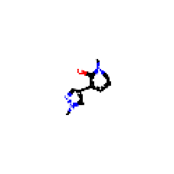 Cn1cc(-c2cccn(C)c2=O)cn1